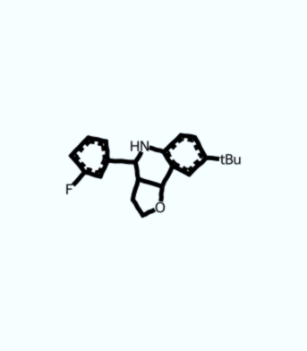 CC(C)(C)c1ccc2c(c1)C1OCCC1C(c1cccc(F)c1)N2